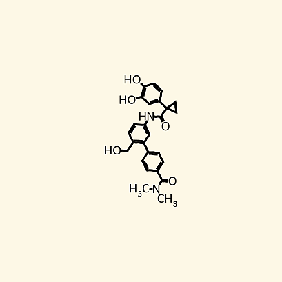 CN(C)C(=O)c1ccc(-c2cc(NC(=O)C3(c4ccc(O)c(O)c4)CC3)ccc2CO)cc1